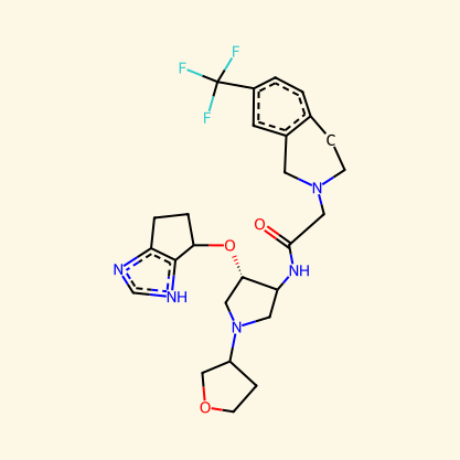 O=C(CN1CCc2ccc(C(F)(F)F)cc2C1)NC1CN(C2CCOC2)C[C@@H]1OC1CCc2nc[nH]c21